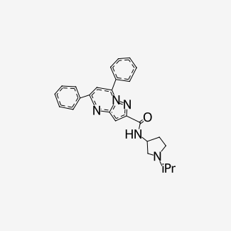 CC(C)N1CCC(NC(=O)c2cc3nc(-c4ccccc4)cc(-c4ccccc4)n3n2)C1